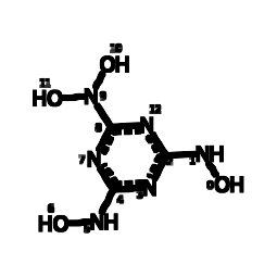 ONc1nc(NO)nc(N(O)O)n1